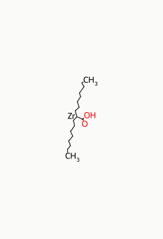 CCCCCCCCC(CCCCCCCC)C(=O)O.[Zr]